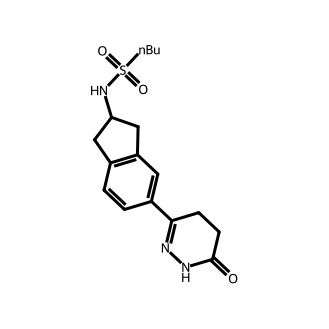 CCCCS(=O)(=O)NC1Cc2ccc(C3=NNC(=O)CC3)cc2C1